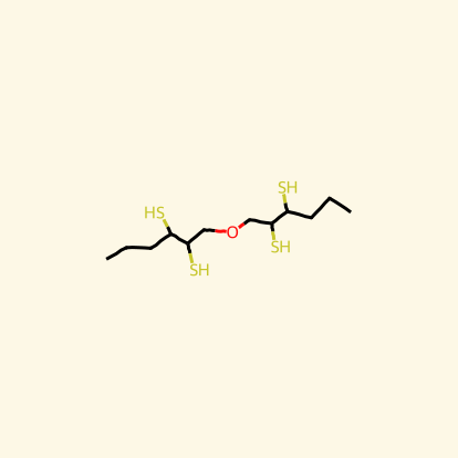 CCCC(S)C(S)COCC(S)C(S)CCC